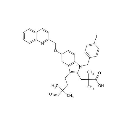 CC(C)(C=O)CCc1c(CC(C)(C)C(=O)O)n(Cc2ccc(I)cc2)c2ccc(OCc3ccc4ccccc4n3)cc12